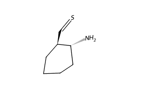 N[C@@H]1CCCC[C@H]1C=S